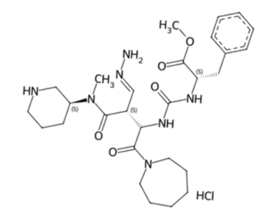 COC(=O)[C@H](Cc1ccccc1)NC(=O)NC(C(=O)N1CCCCCC1)[C@@H](C=NN)C(=O)N(C)[C@H]1CCCNC1.Cl